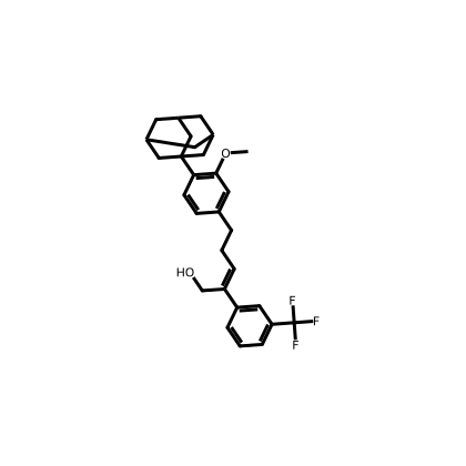 COc1cc(CC/C=C(\CO)c2cccc(C(F)(F)F)c2)ccc1C12CC3CC(CC(C3)C1)C2